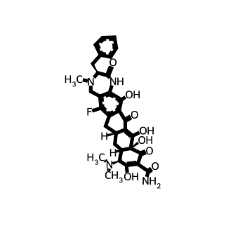 CN(C)[C@@H]1C(O)=C(C(N)=O)C(=O)[C@@]2(O)C(O)=C3C(=O)c4c(O)c5c(c(F)c4C[C@H]3C[C@@H]12)CN(C)[C@@H](Cc1ccccc1)C(=O)N5